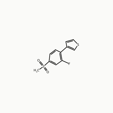 CS(=O)(=O)c1ccc(-c2ccsc2)c(F)c1